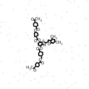 CC(=O)C1CCC(C(=O)OCC2CCC(C(=O)Oc3ccc(OC(=O)C4CCC(OC(=O)C5CCC(C(C)=O)CC5)CC4)c4sc(-c5cc6c(C)cc(C)cc6o5)nc34)CC2)CC1